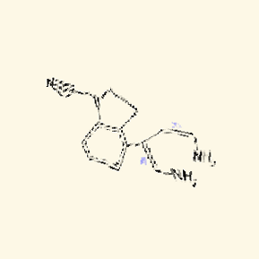 N#CB1CCc2c1cccc2C(/C=C\N)=C/N